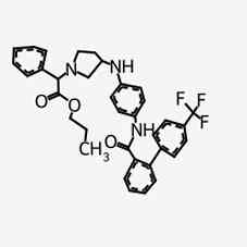 CCCOC(=O)C(c1ccccc1)N1CCC(Nc2ccc(NC(=O)c3ccccc3-c3ccc(C(F)(F)F)cc3)cc2)C1